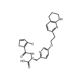 O=C(N[C@@H](Cc1ccc(OCCc2ccc3c(n2)NCCC3)cn1)C(=O)O)c1sccc1Cl